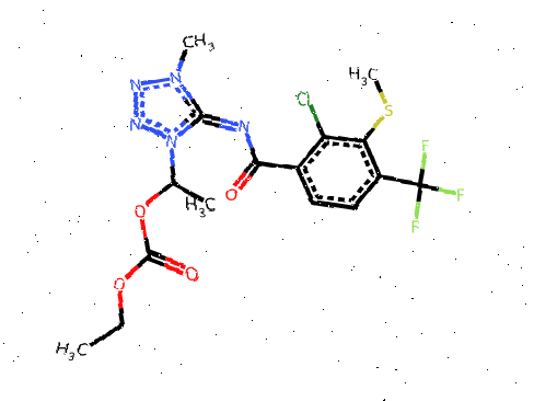 CCOC(=O)OC(C)n1nnn(C)/c1=N/C(=O)c1ccc(C(F)(F)F)c(SC)c1Cl